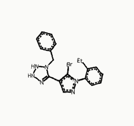 CCc1ccccc1-n1ncc(C2=NNNN2Cc2ccccc2)c1Br